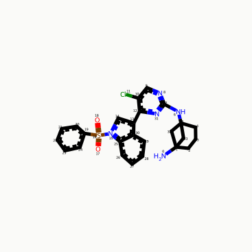 NC12CCCC(Nc3ncc(Cl)c(-c4cn(S(=O)(=O)c5ccccc5)c5ccccc45)n3)(C1)C2